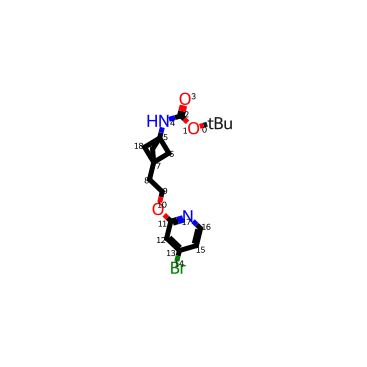 CC(C)(C)OC(=O)NC12CC(CCOc3cc(Br)ccn3)(C1)C2